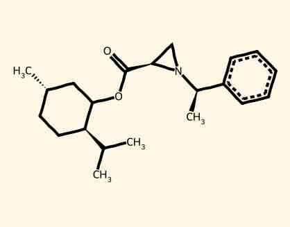 CC(C)[C@H]1CC[C@H](C)CC1OC(=O)[C@H]1CN1[C@H](C)c1ccccc1